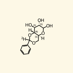 [2H]C1(c2ccccc2)OC[C@@H]2OC(O)[C@@H](O)[C@H](O)[C@H]2O1